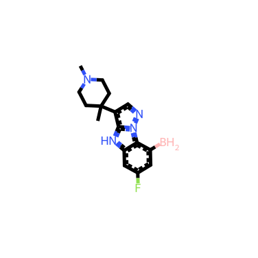 Bc1cc(F)cc2[nH]c3c(C4(C)CCN(C)CC4)cnn3c12